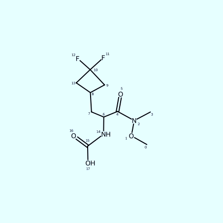 CON(C)C(=O)C(CC1CC(F)(F)C1)NC(=O)O